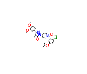 COc1ccc(C2=NN(C3CCN(C(=O)c4cc(OC(C)C)ccc4Cl)CC3)C(=O)C2(C)C)cc1OC